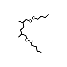 CCCCOOCC(C)CCC(C)COOCCCC